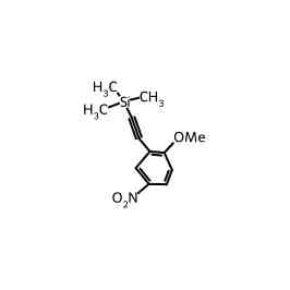 COc1ccc([N+](=O)[O-])cc1C#C[Si](C)(C)C